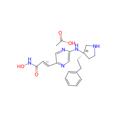 CC(=O)O.O=C(/C=C/c1cnc(N[C@]2(CCc3ccccc3)CCNC2)cn1)NO